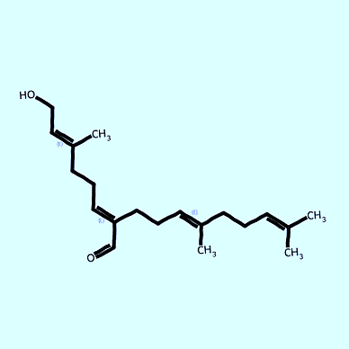 CC(C)=CCC/C(C)=C/CC/C(C=O)=C\CC/C(C)=C/CO